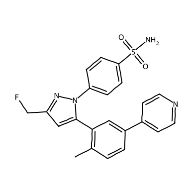 Cc1ccc(-c2ccncc2)cc1-c1cc(CF)nn1-c1ccc(S(N)(=O)=O)cc1